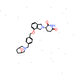 O=C1CCC(N2Cc3cccc(OCc4ccc(CN5CC6CCC(C5)O6)cc4)c3C2)C(=O)N1